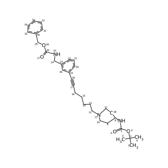 CC(C)(C)OC(=O)NC1CCN(CCCCCC#Cc2cccc(CNC(=O)OCc3ccccc3)c2)CC1